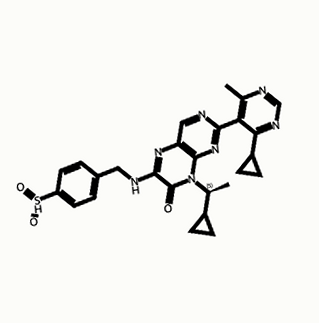 Cc1ncnc(C2CC2)c1-c1ncc2nc(NCc3ccc([SH](=O)=O)cc3)c(=O)n([C@@H](C)C3CC3)c2n1